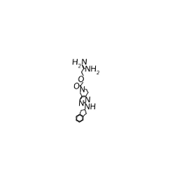 N/C=C(\N)CCOCC(=O)N1CCc2nc(NC3Cc4ccccc4C3)ncc2C1